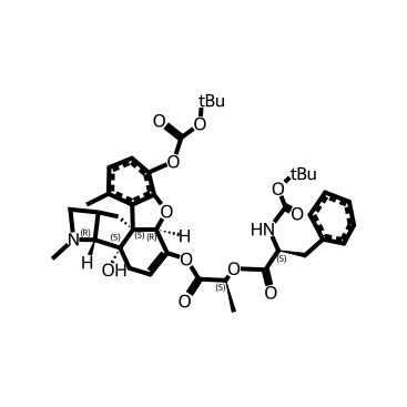 Cc1ccc(OC(=O)OC(C)(C)C)c2c1[C@]13CC4CN(C)[C@H]4[C@]1(O)CC=C(OC(=O)[C@H](C)OC(=O)[C@H](Cc1ccccc1)NC(=O)OC(C)(C)C)[C@@H]3O2